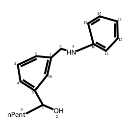 CCCCCC(O)c1cccc(CNc2ccccc2)c1